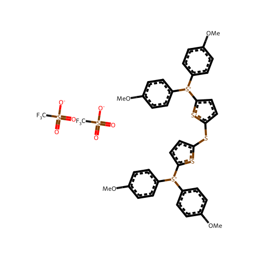 COc1ccc([S+](c2ccc(OC)cc2)c2ccc(Sc3ccc([S+](c4ccc(OC)cc4)c4ccc(OC)cc4)s3)s2)cc1.O=S(=O)([O-])C(F)(F)F.O=S(=O)([O-])C(F)(F)F